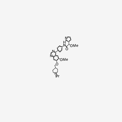 COc1cc2c(-c3ccc(NC(=O)C(OC)c4cccnc4)cc3)ncnc2cc1OCC1CCN(C(C)C)CC1